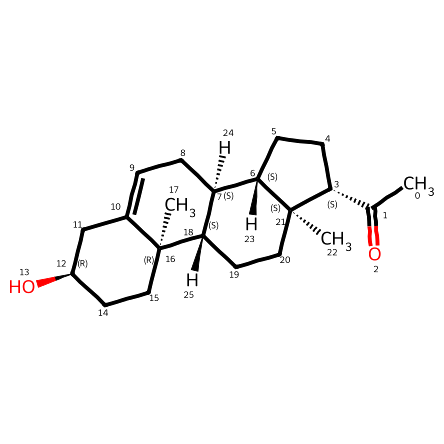 CC(=O)[C@H]1CC[C@H]2[C@@H]3CC=C4C[C@H](O)CC[C@]4(C)[C@H]3CC[C@]12C